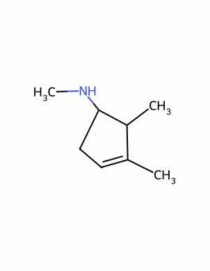 CNC1CC=C(C)C1C